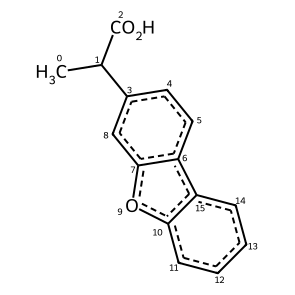 CC(C(=O)O)c1ccc2c(c1)oc1ccccc12